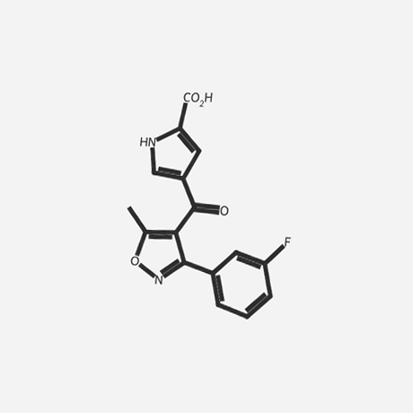 Cc1onc(-c2cccc(F)c2)c1C(=O)c1c[nH]c(C(=O)O)c1